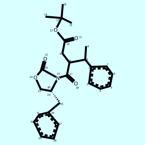 CC(c1ccccc1)C(CC(=O)OC(C)(C)C)C(=O)N1C(=O)OC[C@H]1Cc1ccccc1